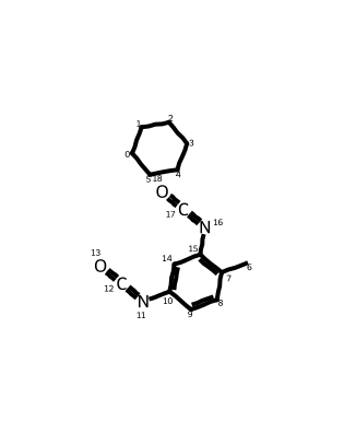 C1CCCCC1.Cc1ccc(N=C=O)cc1N=C=O